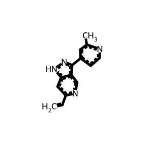 C=Cc1cc2[nH]nc(-c3ccnc(C)c3)c2cn1